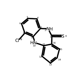 S=C1Nc2cccc(Cl)c2Nc2ccccc21